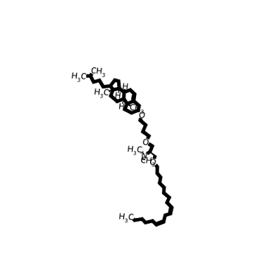 CCCCC/C=C\C/C=C\CCCCCCCCOC[C@H](COCCCCO[C@H]1CC[C@@]2(C)C(=CC[C@@H]3[C@@H]2CC[C@]2(C)C(CCCC(C)C)CC[C@@H]32)C1)N(C)C